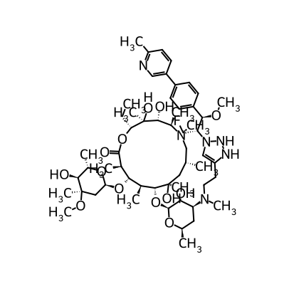 CC[C@H]1OC(=O)[C@H](C)[C@@H](O[C@H]2C[C@@](C)(OC)[C@@H](O)[C@H](C)O2)[C@H](C)[C@@H](O[C@@H]2O[C@H](C)C[C@H](N(C)CCC3=CN([C@H](CF)[C@H](OC)c4ccc(-c5ccc(C)nc5)cc4)NN3)[C@H]2O)[C@](C)(O)C[C@@H](C)CN(C)[C@H](C)[C@@H](O)[C@]1(C)O